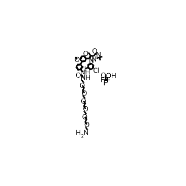 COc1cc2c(cc1-c1cccc(NC(=O)NCCOCCOCCOCCOCCOCCOCCN)c1)-c1c(c(C(=O)N(C)C(C)(C)C)nn1-c1cc(Cl)cc(Cl)c1)CO2.O=C(O)C(F)(F)F